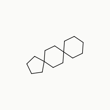 C1CCC2(CC1)CCC1(CCCC1)CC2